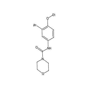 CCOc1ccc(NC(=O)N2CCOCC2)cc1C(C)C